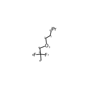 CC(C)CCOCC(C)(F)F